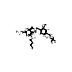 CCCCNc1nc(N)nc2cn(Cc3ccc(CNC(C)(C)C)cc3OC)nc12